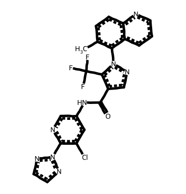 Cc1ccc2ncccc2c1-n1ncc(C(=O)Nc2cnc(-n3nccn3)c(Cl)c2)c1C(F)(F)F